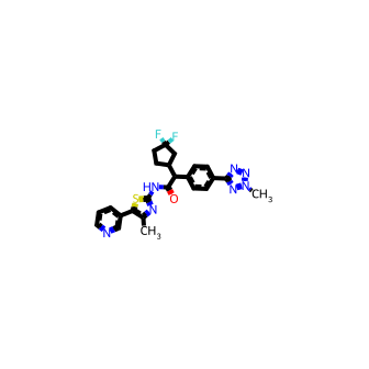 Cc1nc(NC(=O)C(c2ccc(-c3nnn(C)n3)cc2)C2CCC(F)(F)C2)sc1-c1cccnc1